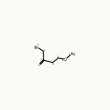 C=C(CBr)CCOC(C)=O